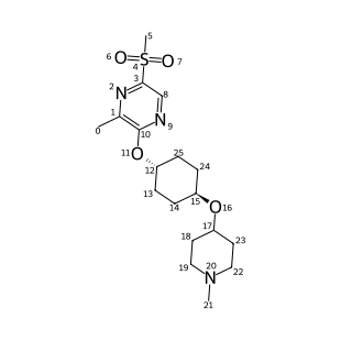 Cc1nc(S(C)(=O)=O)cnc1O[C@H]1CC[C@H](OC2CCN(C)CC2)CC1